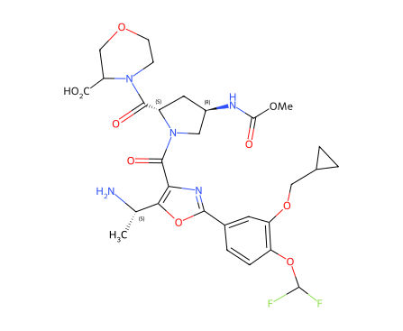 COC(=O)N[C@@H]1C[C@@H](C(=O)N2CCOCC2C(=O)O)N(C(=O)c2nc(-c3ccc(OC(F)F)c(OCC4CC4)c3)oc2[C@H](C)N)C1